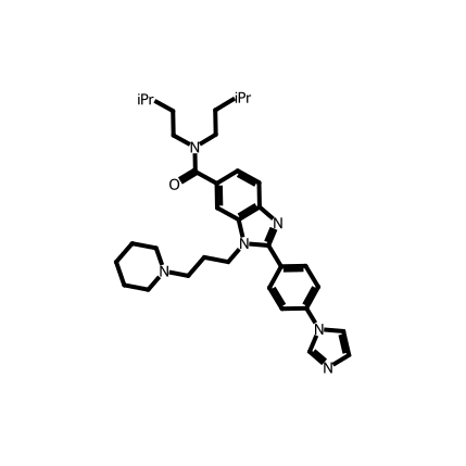 CC(C)CCN(CCC(C)C)C(=O)c1ccc2nc(-c3ccc(-n4ccnc4)cc3)n(CCCN3CCCCC3)c2c1